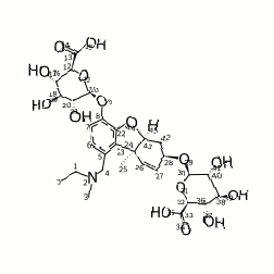 CCN(C)Cc1ccc(O[C@@H]2O[C@H](C(=O)O)[C@@H](O)[C@H](O)[C@H]2O)c2c1[C@]1(C)C=C[C@H](O[C@@H]3O[C@H](C(=O)O)[C@@H](O)[C@H](O)[C@H]3O)C[C@@H]1O2